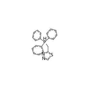 c1ccc([PH](Cc2nncs2)(c2ccccc2)c2ccccc2)cc1